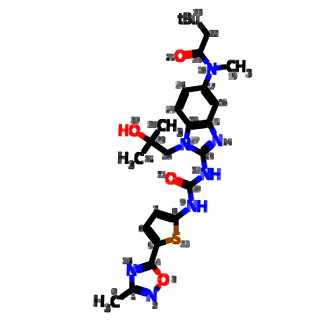 Cc1noc(-c2ccc(NC(=O)Nc3nc4cc(N(C)C(=O)CC(C)(C)C)ccc4n3CC(C)(C)O)s2)n1